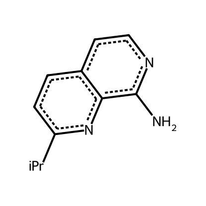 CC(C)c1ccc2ccnc(N)c2n1